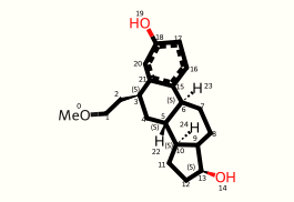 COCC[C@@H]1C[C@@H]2[C@H](CCC3[C@H]2CC[C@@H]3O)c2ccc(O)cc21